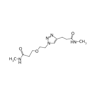 CNC(=O)CCOCCn1cc(CCC(=O)NC)nn1